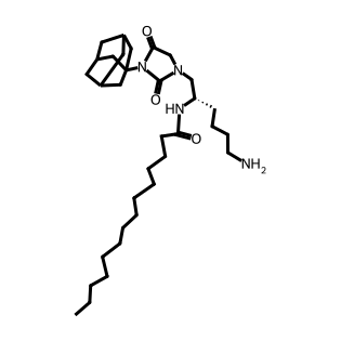 CCCCCCCCCCCCCC(=O)N[C@@H](CCCCN)CN1CC(=O)N(C23CC4CC(CC(C4)C2)C3)C1=O